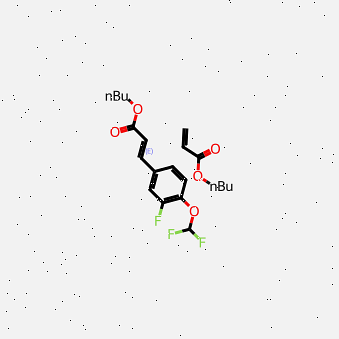 C=CC(=O)OCCCC.CCCCOC(=O)/C=C/c1ccc(OC(F)F)c(F)c1